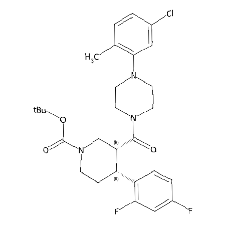 Cc1ccc(Cl)cc1N1CCN(C(=O)[C@H]2CN(C(=O)OC(C)(C)C)CC[C@H]2c2ccc(F)cc2F)CC1